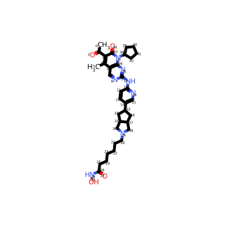 CC(=O)c1c(C)c2cnc(Nc3ccc(C4CC5CN(CCCCCCC(=O)NO)CC5C4)cn3)nc2n(C2CCCC2)c1=O